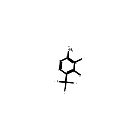 Cc1c(C(F)(F)F)ccc(N)c1F